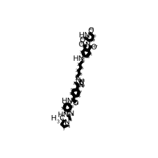 C[C@H]1CCCN1Cc1nc2cc(NC(=O)c3ccc(-c4cn(CCCCCCNc5ccc6c(c5)C(=O)N(C5CCC(=O)NC5=O)C6=O)nn4)cc3)ccc2[nH]1